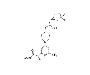 CNC(=O)c1csc2c(C(F)(F)F)cc(N3CCC(CC(O)CN4CCC(F)(F)C4)CC3)nc12